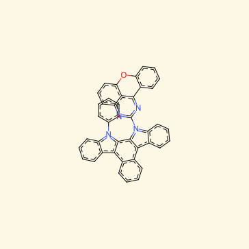 c1ccc(-n2c3ccccc3c3c4ccccc4c4c5ccccc5n(-c5nc6c7c(cccc7n5)Oc5ccccc5-6)c4c32)cc1